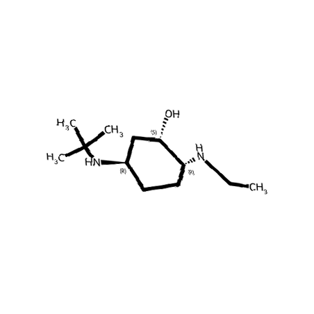 CCN[C@@H]1CC[C@@H](NC(C)(C)C)C[C@@H]1O